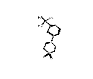 CC(C)(C)c1cccc(N2CCS(=O)(=O)CC2)c1